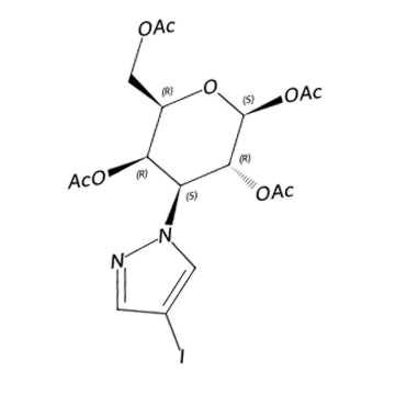 CC(=O)OC[C@H]1O[C@@H](OC(C)=O)[C@H](OC(C)=O)[C@@H](n2cc(I)cn2)[C@H]1OC(C)=O